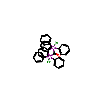 O=C(P(Br)(c1ccccc1)(c1ccccc1)c1ccccc1)P(Br)(c1ccccc1)(c1ccccc1)c1ccccc1